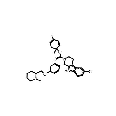 CN1CCCCC1COC1C=CC([C@H]2c3[nH]c4ccc(Cl)cc4c3CCN2C(=O)OC2(C)C=CC(F)=CC2)=CC1